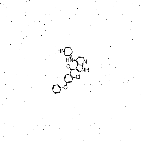 O=C(c1ccc(Oc2ccccc2)cc1Cl)c1c[nH]c2nccc(N[C@@H]3CCCNC3)c12